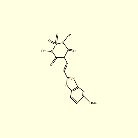 COc1ccc2oc(N=NC3C(=O)N(C(C)C)S(=O)(=O)N(C(C)C)C3=O)nc2c1